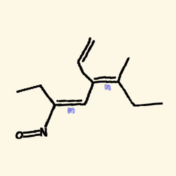 C=CC(/C=C(\CC)N=O)=C(\C)CC